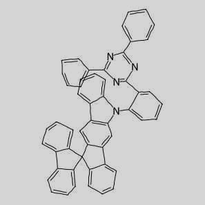 c1ccc(-c2nc(-c3ccccc3)nc(-c3ccccc3-n3c4ccccc4c4cc5c(cc43)-c3ccccc3C53c4ccccc4-c4ccccc43)n2)cc1